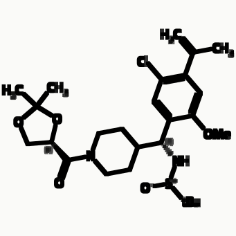 C=C(C)c1cc(OC)c([C@H](N[S+]([O-])C(C)(C)C)C2CCN(C(=O)[C@H]3COC(C)(C)O3)CC2)cc1Cl